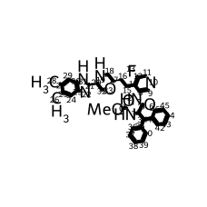 COC(=O)NC(C(=O)Nc1cncc(F)c1CC[C@@H]1CN[C@H](c2nc3cc(C)c(C)cc3[nH]2)CO1)C(c1ccccc1)c1ccccc1